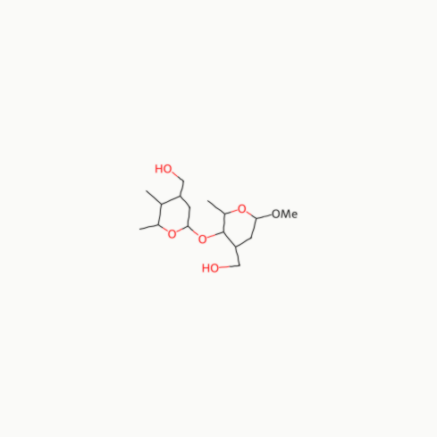 COC1CC(CO)C(OC2CC(CO)C(C)C(C)O2)C(C)O1